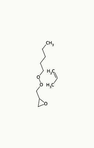 C=CC.CCCCCOOCC1CO1